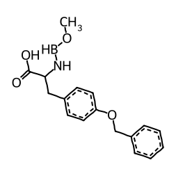 COBNC(Cc1ccc(OCc2ccccc2)cc1)C(=O)O